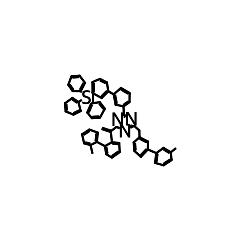 C=C(c1nc(Cc2cccc(-c3cccc(C)c3)c2)nc(-c2cccc(-c3cccc([Si](c4ccccc4)(c4ccccc4)c4ccccc4)c3)c2)n1)c1ccccc1-c1ccccc1C